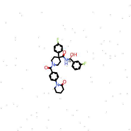 O=C(c1ccc(N2CCCCC2=O)cc1)N1CCC(C(=O)N[C@@H](O)c2cccc(F)c2)(c2ccc(F)cc2)CC1